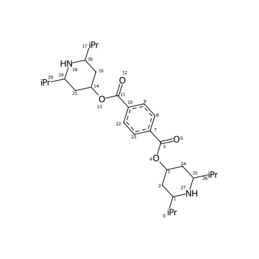 CC(C)C1CC(OC(=O)c2ccc(C(=O)OC3CC(C(C)C)NC(C(C)C)C3)cc2)CC(C(C)C)N1